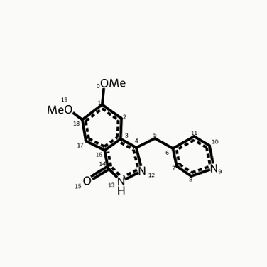 COc1cc2c(Cc3ccncc3)n[nH]c(=O)c2cc1OC